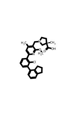 COc1nc(-c2cccc(-c3cccc4c3CCC4)c2Cl)cc(C)c1CN1CC[C@](C)(C(=O)O)C1